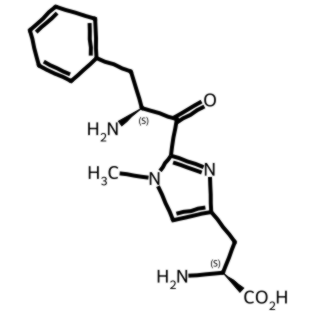 Cn1cc(C[C@H](N)C(=O)O)nc1C(=O)[C@@H](N)Cc1ccccc1